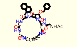 CC(=O)NCC(=O)N[C@H]1CC(=O)NCCCCCNC(=O)CNC(=O)CNC(=O)[C@@H](Cc2cccc3ccccc23)NC(=O)[C@@H]2CC(OCc3ccccc3)CN2C1=O